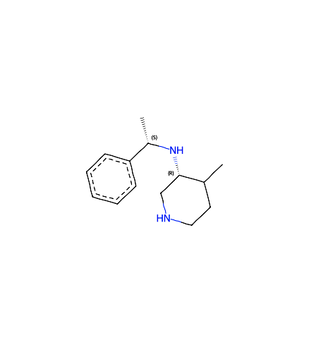 CC1CCNC[C@@H]1N[C@@H](C)c1ccccc1